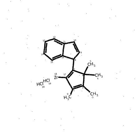 CC1=C(C)C(C)(C)C(C2C=Cc3ccccc32)=[C]1[Zr].Cl.Cl